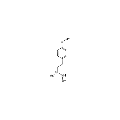 CC(=O)[C@H](CCc1ccc(OC(C)C)cc1)NC(C)C